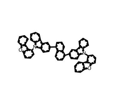 c1ccc2c(c1)oc1cccc(-n3c4ccccc4c4cc(-c5cccc6c(-c7ccc8c(c7)c7ccccc7n8-c7cccc8oc9ccccc9c78)cccc56)ccc43)c12